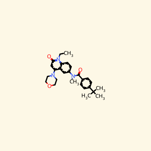 CCn1c(=O)cc(N2CCOCC2)c2cc(N(C)C(=O)c3ccc(C(C)(C)C)cc3)ccc21